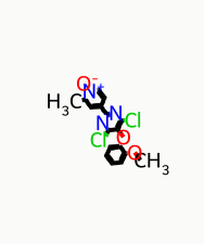 COc1ccccc1Oc1c(Cl)nc(-c2cc[n+]([O-])c(C)c2)nc1Cl